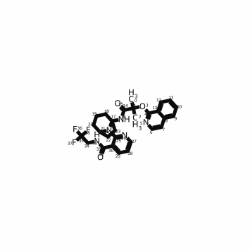 CC(C)(Oc1nccc2ccccc12)C(=O)NC12CCCC(CC1)N2c1ncccc1C(=O)NCC(F)(F)F